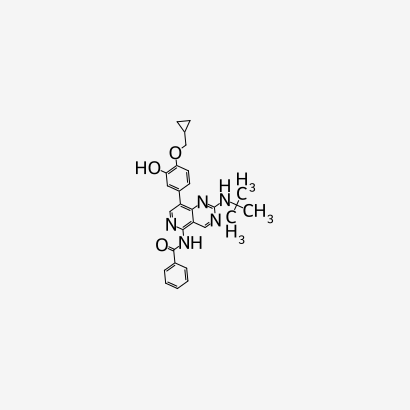 CC(C)(C)Nc1ncc2c(NC(=O)c3ccccc3)ncc(-c3ccc(OCC4CC4)c(O)c3)c2n1